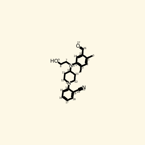 Cc1cc(C)c(N(CCO)C2CCN(c3ccccc3C#N)CC2)cc1C=O